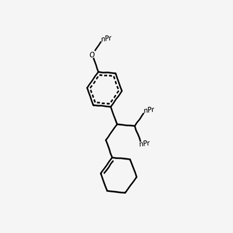 CCCOc1ccc(C(CC2=CCCCC2)C(CCC)CCC)cc1